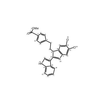 COC(=O)c1ccc(CCn2c(-c3c[nH]c4ncccc34)nc3cc(Cl)c(Cl)cc32)cc1